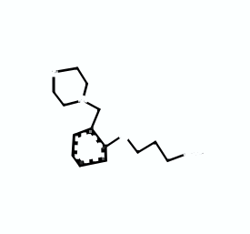 COCCCOc1ccccc1CN1CCNCC1